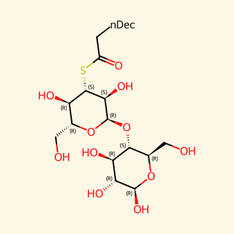 CCCCCCCCCCCC(=O)S[C@@H]1[C@@H](O)[C@@H](O[C@H]2[C@H](O)[C@@H](O)[C@H](O)O[C@@H]2CO)O[C@H](CO)[C@H]1O